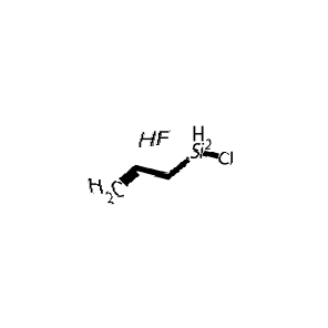 C=CC[SiH2]Cl.F